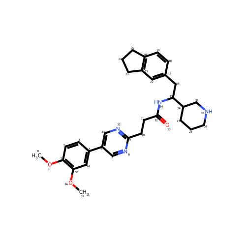 COc1ccc(-c2cnc(CCC(=O)NC(Cc3ccc4c(c3)CCC4)C3CCCNC3)nc2)cc1OC